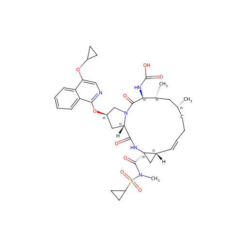 C[C@@H]1CCC=C[C@@H]2C[C@@]2(C(=O)N(C)S(=O)(=O)C2CC2)NC(=O)[C@@H]2C[C@@H](Oc3ncc(OC4CC4)c4ccccc34)CN2C(=O)[C@@H](NC(=O)O)[C@H](C)C1